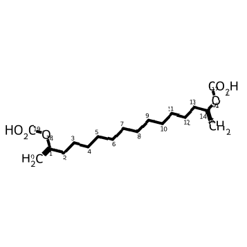 C=C(CCCCCCCCCCCCC(=C)OC(=O)O)OC(=O)O